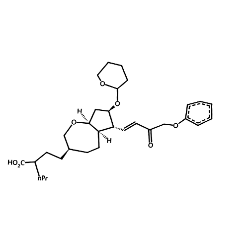 CCCC(CC[C@@H]1CC[C@@H]2[C@@H](C=CC(=O)COc3ccccc3)[C@H](OC3CCCCO3)C[C@@H]2OC1)C(=O)O